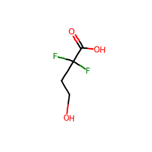 O=C(O)C(F)(F)CCO